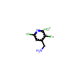 Cl.NCc1cc(F)ncc1F